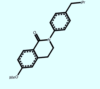 COc1ccc2c(c1)CCN(c1ccc(CC(C)C)cc1)C2=O